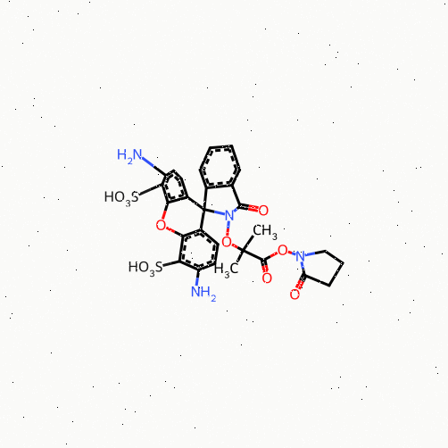 CC(C)(ON1C(=O)c2ccccc2C12c1ccc(N)c(S(=O)(=O)O)c1Oc1c2ccc(N)c1S(=O)(=O)O)C(=O)ON1CCCC1=O